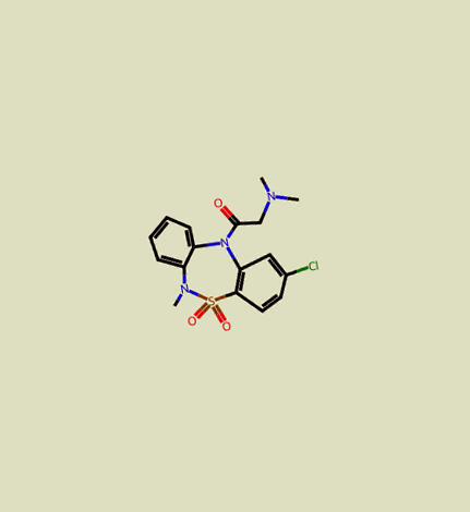 CN(C)CC(=O)N1c2ccccc2N(C)S(=O)(=O)c2ccc(Cl)cc21